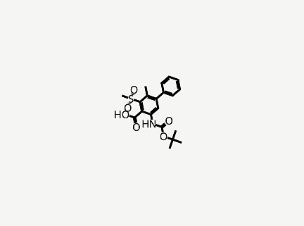 Cc1c(-c2ccccc2)cc(NC(=O)OC(C)(C)C)c(C(=O)O)c1S(C)(=O)=O